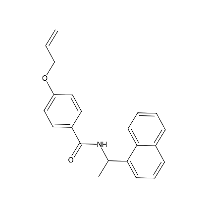 C=CCOc1ccc(C(=O)NC(C)c2cccc3ccccc23)cc1